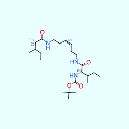 CCC(C)[C@H](C)C(=O)NCC/C=C\CCNC(=O)[C@@H](NC(=O)OC(C)(C)C)C(C)CC